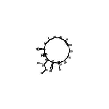 CC[C@H](C)C1NC(=O)[CH]CCCC=CCCCN(C)C1=O